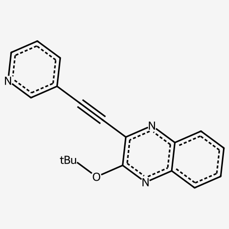 CC(C)(C)Oc1nc2ccccc2nc1C#Cc1cccnc1